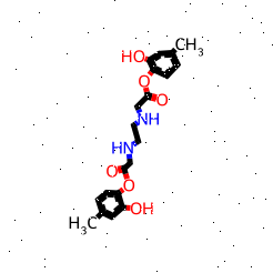 Cc1ccc(OC(=O)CNCCNCC(=O)Oc2ccc(C)cc2O)c(O)c1